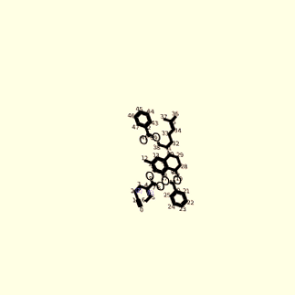 C#C/C=C\C(=C/C)C(=O)Oc1c(C)cc2c(c1OC(=O)c1ccccc1)[C@H](C)CC[C@H]2C(CCC=C(C)C)COC(=O)c1ccccc1